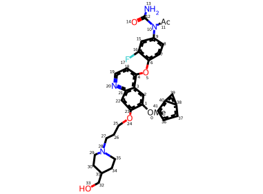 COc1cc2c(Oc3ccc(N(C(C)=O)C(N)=O)cc3F)ccnc2cc1OCCCN1CCC(CO)CC1.c1cc2cc-2c1